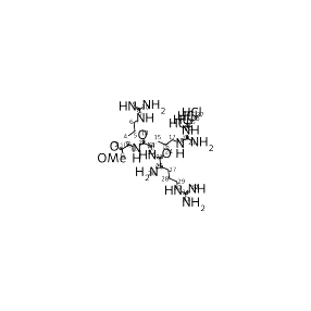 COC(=O)[C@H](CCCNC(=N)N)NC(=O)[C@H](CCCNC(=N)N)NC(=O)[C@@H](N)CCCNC(=N)N.Cl.Cl.Cl.Cl